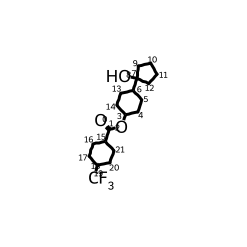 O=C(OC1CCC(C2(O)CCCC2)CC1)C1CCC(C(F)(F)F)CC1